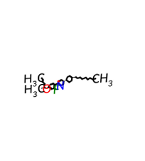 CCCCCCCCC[C@H]1CC[C@H](c2ccc(-c3ccc(O[C@@H](C)CCCC)cc3F)nc2)CC1